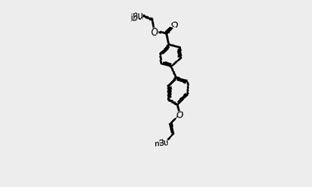 CCCCC=COc1ccc(-c2ccc(C(=O)OCC(C)CC)cc2)cc1